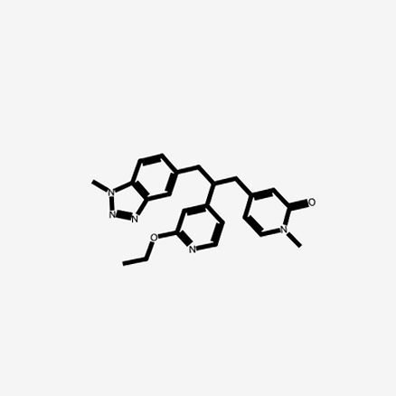 CCOc1cc([C](Cc2ccn(C)c(=O)c2)Cc2ccc3c(c2)nnn3C)ccn1